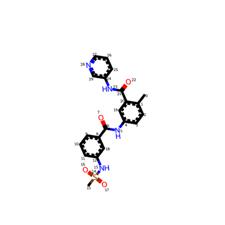 Cc1ccc(NC(=O)c2cccc(NS(C)(=O)=O)c2)cc1C(=O)Nc1cccnc1